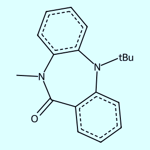 CN1C(=O)c2ccccc2N(C(C)(C)C)c2ccccc21